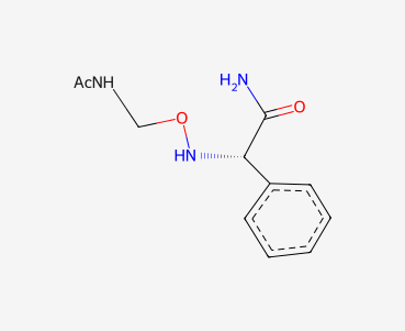 CC(=O)NCON[C@H](C(N)=O)c1ccccc1